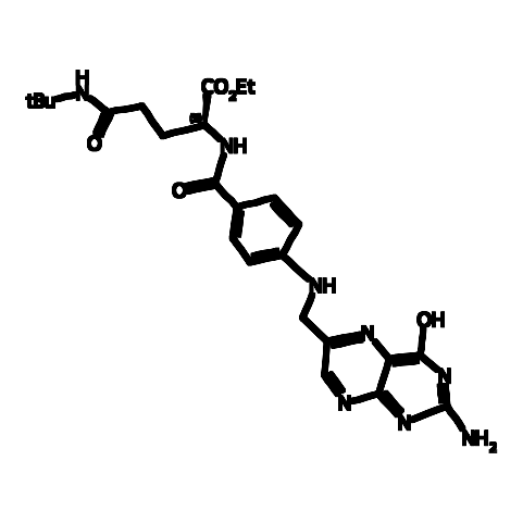 CCOC(=O)[C@H](CCC(=O)NC(C)(C)C)NC(=O)c1ccc(NCc2cnc3nc(N)nc(O)c3n2)cc1